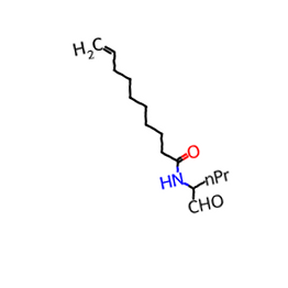 C=CCCCCCCCC(=O)NC(C=O)CCC